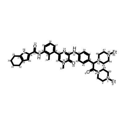 CCN1CCN(C(=O)C(c2ccc(Nc3nc(-c4cccc(NC(=O)c5cc6c(s5)CCCC6)c4C)cn(C)c3=O)cc2)N2CCN(CC)CC2)CC1